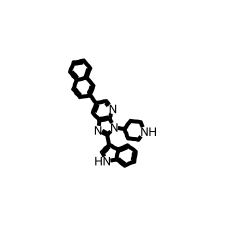 c1ccc2cc(-c3cnc4c(c3)nc(-c3c[nH]c5ccccc35)n4C3CCNCC3)ccc2c1